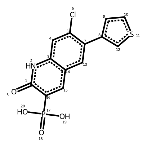 O=c1[nH]c2cc(Cl)c(-c3ccsc3)cc2cc1P(=O)(O)O